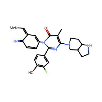 CN/C=C1/C=C(n2c(-c3ccc(C#N)c(F)c3)nc(N3CCC4NCCC4C3)c(C)c2=O)C=CC1=N